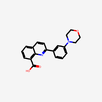 O=C(O)c1cccc2ccc(-c3cccc(N4CCOCC4)c3)nc12